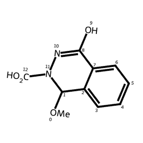 COC1c2ccccc2C(O)=NN1C(=O)O